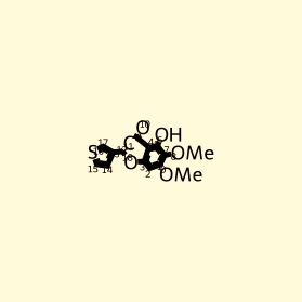 COc1cc2c(c(O)c1OC)C(=O)CC(c1ccsc1)O2